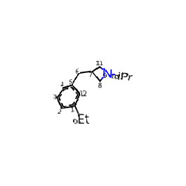 CCc1cccc(CC2CN(C(C)C)C2)c1